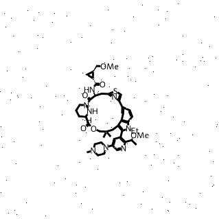 CCn1c(-c2cc(N3CCN(C)CC3)cnc2[C@H](C)OC)c2c3cc(ccc31)-c1csc(n1)C[C@H](NC(=O)[C@@H]1C[C@H]1COC)C(=O)N1CCC[C@H](N1)C(=O)OCC(C)(C)C2